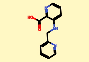 O=C(O)c1ncccc1NCc1ccccn1